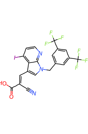 N#C/C(=C\c1cn(Cc2cc(C(F)(F)F)cc(C(F)(F)F)c2)c2nccc(I)c12)C(=O)O